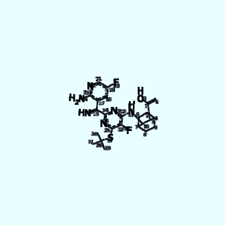 C=C(O)C1C2CCC(CC2)C1Nc1nc(C(=N)c2cc(F)cnc2N)nc(SC(C)(C)C)c1F